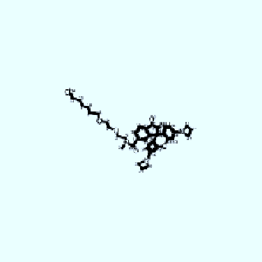 CN(CCOCCOCCCCCCCl)C(=O)c1ccc2c(c1)C1(C(=N)C2=O)c2ccc(N3CCC3)cc2Oc2cc(N3CCC3)ccc21